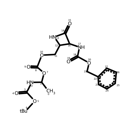 CC(NC(=O)OC(C)(C)C)OC(=O)OCC1NC(=O)C1NC(=O)OCc1ccccc1